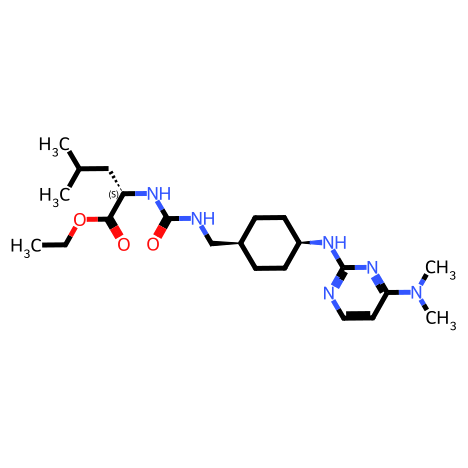 CCOC(=O)[C@H](CC(C)C)NC(=O)NC[C@H]1CC[C@@H](Nc2nccc(N(C)C)n2)CC1